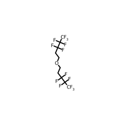 FC(F)(F)C(F)(F)C(F)(F)CCOCCC(F)(F)C(F)(F)C(F)(F)F